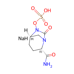 NC(=O)[C@@H]1CC[C@@H]2CN1C(=O)N2OS(=O)(=O)O.[NaH]